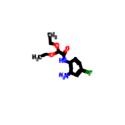 CCOC(OCC)C(=O)Nc1ccc(F)cc1N